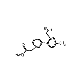 CCNCc1cc(C)ccc1-c1cccc(CC(=O)OC)c1